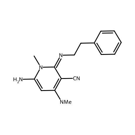 CNc1cc(N)n(C)c(=NCCc2ccccc2)c1C#N